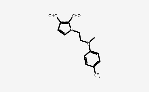 CN(CCn1ccc(C=O)c1C=O)c1ccc(C(F)(F)F)cc1